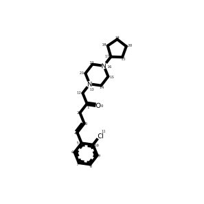 O=C(CC=Cc1ccccc1Cl)CN1CCN(C2CCCC2)CC1